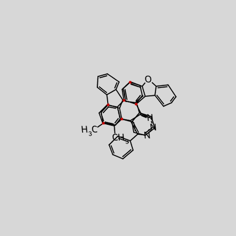 Cc1cc2c(c(-c3c(-c4ccccc4)nnnc3-c3c(-c4ccccc4-c4ccccc4-c4ccccc4)ccc4oc5ccccc5c34)c1C)Cc1ccccc1-2